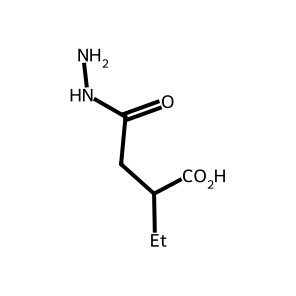 CCC(CC(=O)NN)C(=O)O